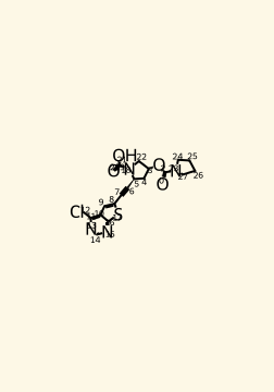 O=C(O[C@H]1C[C@@H](C#Cc2cc3c(Cl)ncnc3s2)N(C(=O)O)C1)N1CCCC1